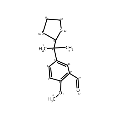 COc1ccc(C(C)(C)C2SCCS2)cc1C=O